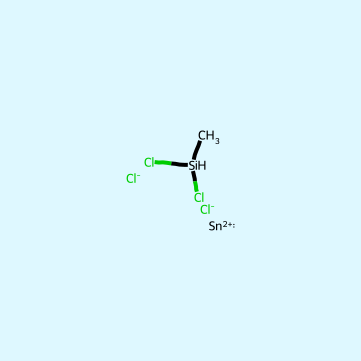 C[SiH](Cl)Cl.[Cl-].[Cl-].[Sn+2]